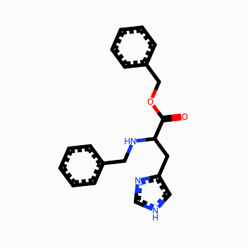 O=C(OCc1ccccc1)C(Cc1c[nH]cn1)NCc1ccccc1